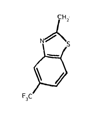 [CH2]c1nc2cc(C(F)(F)F)ccc2s1